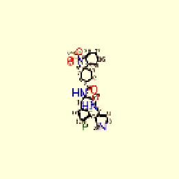 CS(=O)(=O)N1C[C@]2(CC[C@@H](C(=O)NC(Cc3ccc(F)cc3)C(=O)NCc3ccncc3)CC2)c2ccccc21